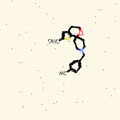 N#Cc1ccc(CN2CCC3(CC2)OCCc2cc(C=O)sc23)cc1